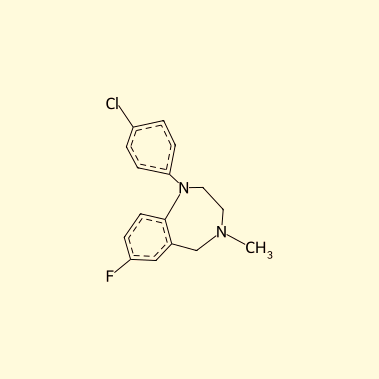 CN1CCN(c2ccc(Cl)cc2)c2ccc(F)cc2C1